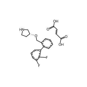 Fc1cccc(-c2ccccc2CO[C@@H]2CCNC2)c1F.O=C(O)/C=C/C(=O)O